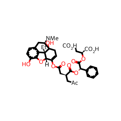 CC[C@]12c3c4ccc(O)c3O[C@H]1C(OC(=O)C[C@H](CC(C)=O)C(=O)O[C@H](C(=O)O[C@@H](CC(=O)O)C(=O)O)c1ccccc1)=CC[C@@]2(O)[C@H](NC)C4